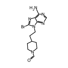 Nc1ncnc2c1nc(Br)n2CCC1CCN(C=O)CC1